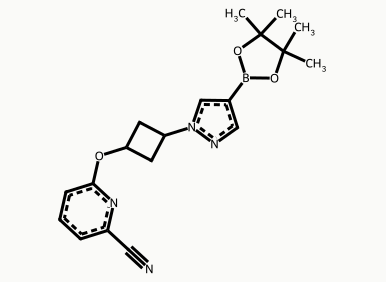 CC1(C)OB(c2cnn(C3CC(Oc4cccc(C#N)n4)C3)c2)OC1(C)C